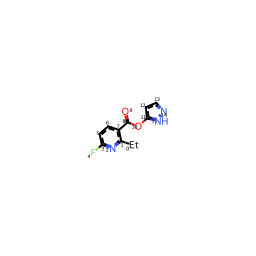 CCc1nc(F)ccc1C(=O)Oc1ccn[nH]1